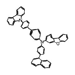 c1ccc2c(-c3ccc(N(c4ccc(-c5ccc(-n6c7ccccc7c7ccccc76)cc5)cc4)c4ccc5c(c4)oc4ccccc45)cc3)cccc2c1